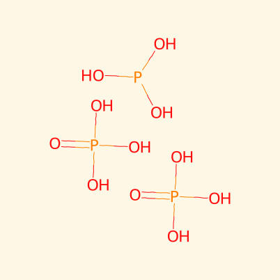 O=P(O)(O)O.O=P(O)(O)O.OP(O)O